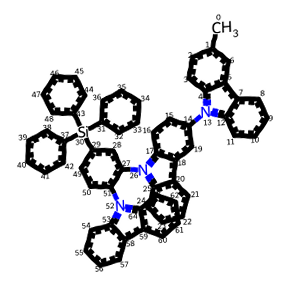 Cc1ccc2c(c1)c1ccccc1n2-c1ccc2c(c1)c1ccccc1n2-c1cc([Si](c2ccccc2)(c2ccccc2)c2ccccc2)ccc1-n1c2ccccc2c2ccccc21